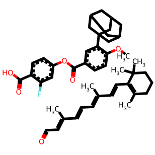 CC1=C(/C=C/C(C)=C/C=C/C(C)=C/C=O)C(C)(C)CCC1.COc1ccc(C(=O)Oc2ccc(C(=O)O)c(F)c2)cc1C12CC3CC(CC(C3)C1)C2